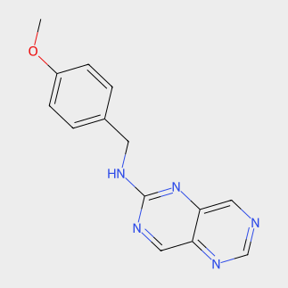 COc1ccc(CNc2ncc3ncncc3n2)cc1